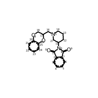 O=C1c2ccccc2C(=O)N1C1CCCN(CC2COc3ccccc3O2)C1